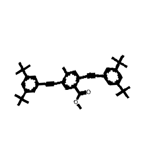 COC(=O)c1cc(C#Cc2cc(C(C)(C)C)cc(C(C)(C)C)c2)c(C)cc1C#Cc1cc(C(C)(C)C)cc(C(C)(C)C)c1